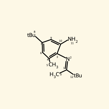 C/C(=N\c1c(C)cc(C(C)(C)C)cc1N)C(C)(C)C